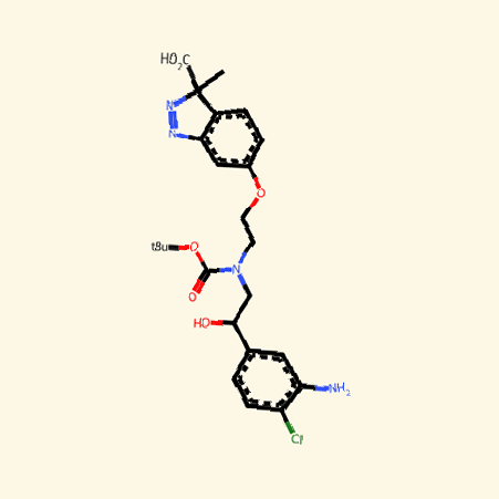 CC(C)(C)OC(=O)N(CCOc1ccc2c(c1)N=NC2(C)C(=O)O)CC(O)c1ccc(Cl)c(N)c1